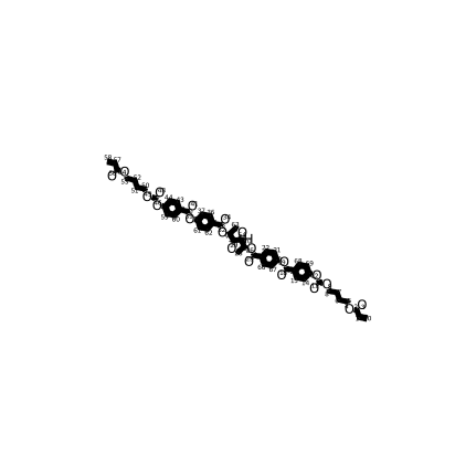 C=CC(=O)OCCCCOC(=O)Oc1ccc(C(=O)Oc2ccc(C(=O)O[C@H]3COC4[C@H](OC(=O)c5ccc(OC(=O)c6ccc(OC(=O)OCCCCOC(=O)C=C)cc6)cc5)CO[C@@H]43)cc2)cc1